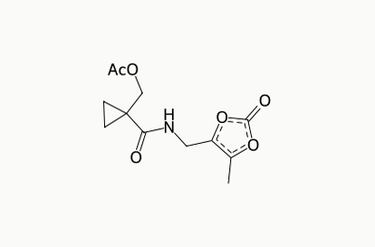 CC(=O)OCC1(C(=O)NCc2oc(=O)oc2C)CC1